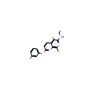 Cc1nc(N(C=O)CC(=O)O)c(O)c2ccc(Oc3cccc(C(C)(C)C)c3)nc12